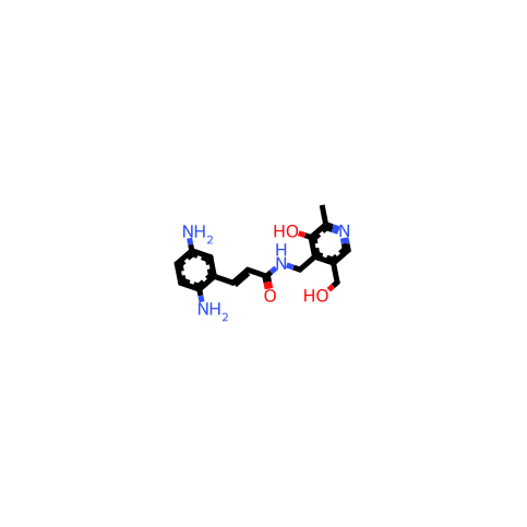 Cc1ncc(CO)c(CNC(=O)/C=C/c2cc(N)ccc2N)c1O